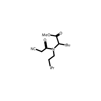 COC(=O)C(N(CCC(C)C)C(=O)CC#N)C(C)(C)C